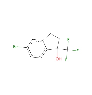 OC1(C(F)(F)F)CCc2cc(Br)ccc21